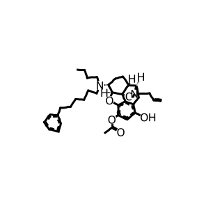 C=CCN1CC[C@]23c4c5c(O)cc(OC(C)=O)c4O[C@H]2[C@H](N(CCCC)CCCCCCc2ccccc2)CC[C@H]3[C@H]1C5